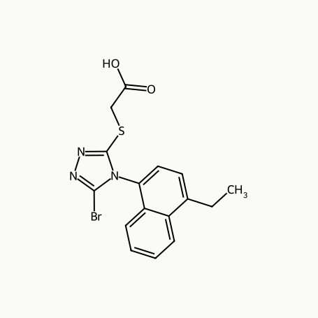 CCc1ccc(-n2c(Br)nnc2SCC(=O)O)c2ccccc12